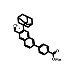 C=Cc1cc2ccc(-c3ccc(C(=O)OC)cc3)cc2cc1C12CC3CC(CC(C3)C1)C2